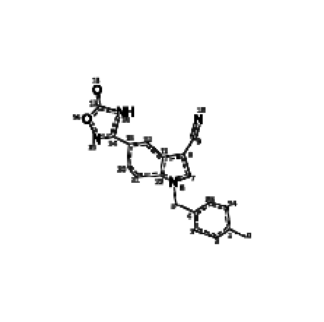 Cc1ccc(Cn2cc(C#N)c3cc(-c4noc(=O)[nH]4)ccc32)cc1